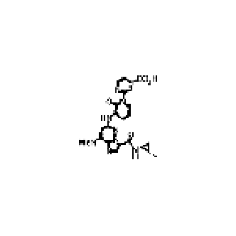 CNc1cc(Nc2cccn(-c3cc(C(=O)O)ccn3)c2=O)nn2c(C(=O)N[C@@H]3C[C@@H]3F)cnc12